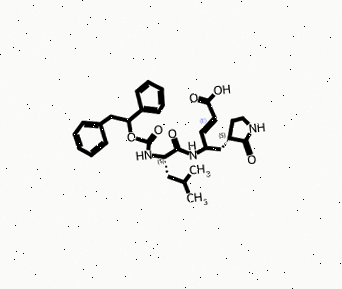 CC(C)C[C@H](NC(=O)OC(Cc1ccccc1)c1ccccc1)C(=O)NC(/C=C/C(=O)O)C[C@@H]1CCNC1=O